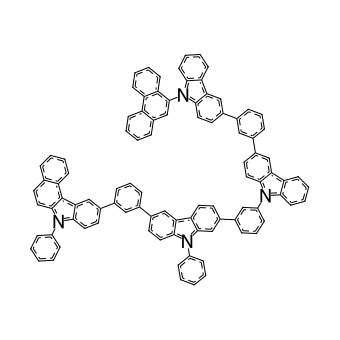 c1ccc(-n2c3ccc(-c4cccc(-c5ccc6c(c5)c5c7ccccc7ccc5n6-c5ccccc5)c4)cc3c3ccc(-c4cccc(-n5c6ccccc6c6cc(-c7cccc(-c8ccc9c(c8)c8ccccc8n9-c8cc9ccccc9c9ccccc89)c7)ccc65)c4)cc32)cc1